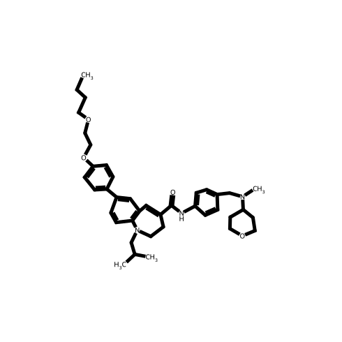 CCCCOCCOc1ccc(-c2ccc3c(c2)C=C(C(=O)Nc2ccc(CN(C)C4CCOCC4)cc2)CCN3CC(C)C)cc1